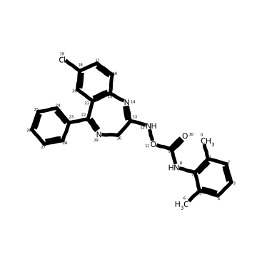 Cc1cccc(C)c1NC(=O)ONC1=Nc2ccc(Cl)cc2C(c2ccccc2)=NC1